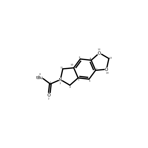 CC(C)(C)C(=O)N1Cc2cc3c(cc2C1)OCO3